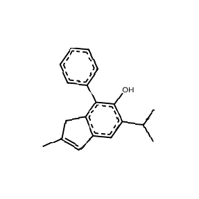 CC1=Cc2cc(C(C)C)c(O)c(-c3ccccc3)c2C1